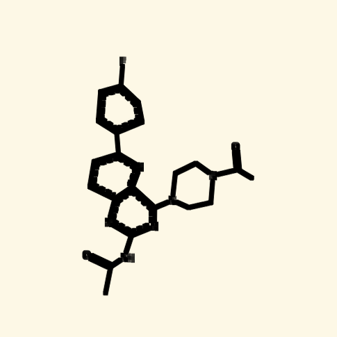 CC(=O)Nc1nc(N2CCN(C(C)=O)CC2)c2nc(-c3ccc(F)cc3)ccc2n1